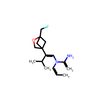 C=C(N)N(/C=C\C)/C=C(\C(C)C)C12COC(CF)(C1)C2